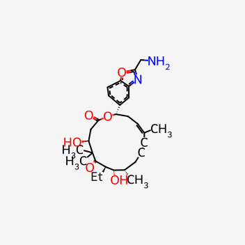 CC[C@H]1C(=O)C(C)(C)[C@@H](O)CC(=O)O[C@H](c2ccc3oc(CN)nc3c2)CC=C(C)CCC[C@H](C)[C@@H]1O